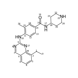 CCc1cccc2cnc(Nc3ccc(C(=O)NC4CCNCC4)cc3C)nc12